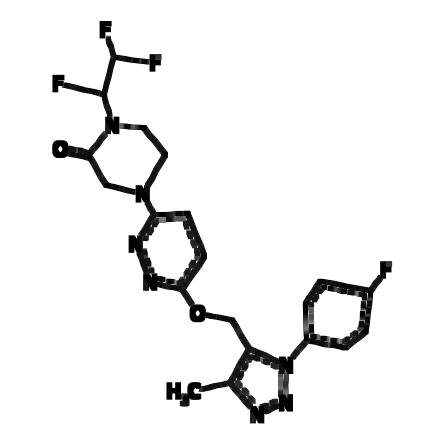 Cc1nnn(-c2ccc(F)cc2)c1COc1ccc(N2CCN(C(F)C(F)F)C(=O)C2)nn1